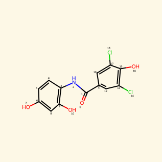 O=C(Nc1ccc(O)cc1O)c1cc(Cl)c(O)c(Cl)c1